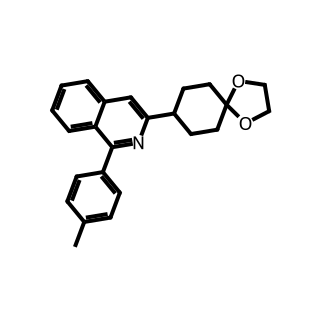 Cc1ccc(-c2nc(C3CCC4(CC3)OCCO4)cc3ccccc23)cc1